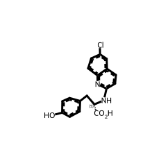 O=C(O)[C@H](Cc1ccc(O)cc1)Nc1ccc2cc(Cl)ccc2n1